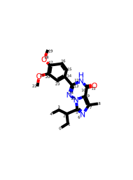 CCC(CC)c1nc(C)c2c(=O)[nH]c(-c3ccc(OC)c(OC)c3)nn12